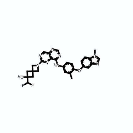 Cc1cc(Nc2ncnc3cnc(N4CC5(C4)CC(O)(C(F)F)C5)nc23)ccc1Oc1ccc2c(c1)ncn2C